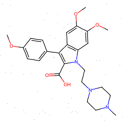 COc1ccc(-c2c(C(=O)O)n(CCN3CCN(C)CC3)c3cc(OC)c(OC)cc23)cc1